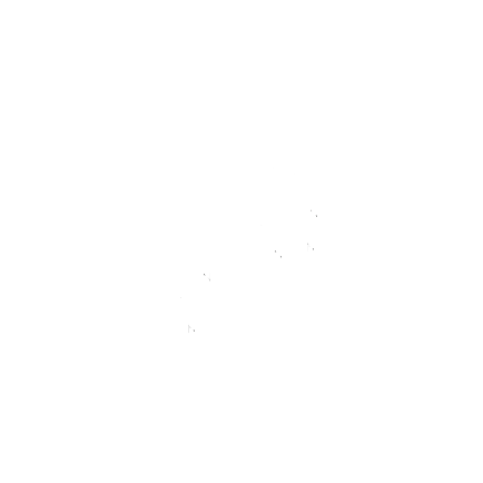 Cc1ncn2c1Cn1nnc(C)c1-c1cc(CO)ccc1-2